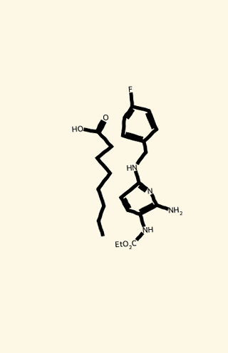 CCCCCCCC(=O)O.CCOC(=O)Nc1ccc(NCc2ccc(F)cc2)nc1N